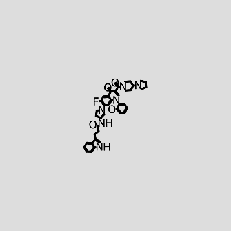 O=C(CCc1c[nH]c2ccccc12)NC1CCN(c2c(F)cc3c(=O)c(C(=O)N4CCC(N5CCCC5)CC4)cn4c3c2Oc2ccccc2-4)C1